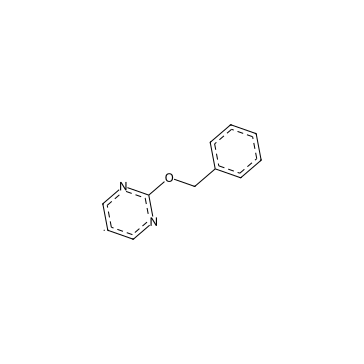 [c]1cnc(OCc2ccccc2)nc1